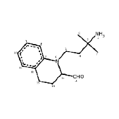 CC(C)(N)CCN1c2ccccc2CCC1C=O